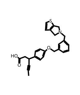 CC#CC(CC(=O)O)c1ccc(OCc2cccc(CN3Cc4ccsc4C3)c2)cc1